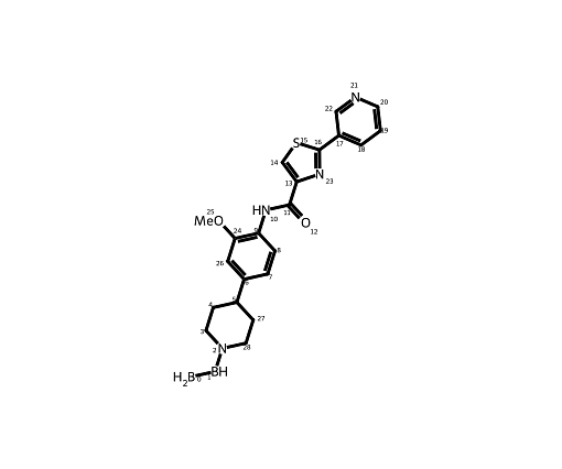 BBN1CCC(c2ccc(NC(=O)c3csc(-c4cccnc4)n3)c(OC)c2)CC1